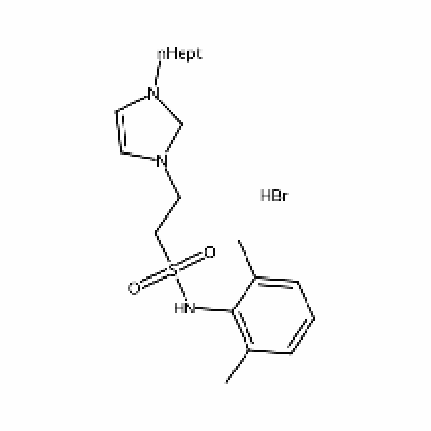 Br.CCCCCCCN1C=CN(CCS(=O)(=O)Nc2c(C)cccc2C)C1